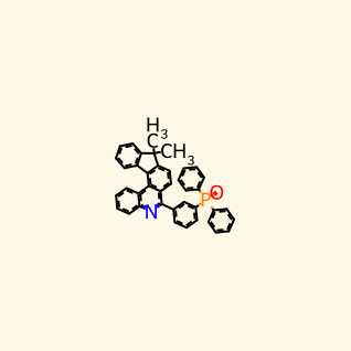 CC1(C)c2ccccc2-c2c1ccc1c(-c3cccc(P(=O)(c4ccccc4)c4ccccc4)c3)nc3ccccc3c21